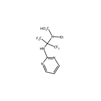 CCN(C(=O)O)C(Nc1ncccn1)(C(F)(F)F)C(F)(F)F